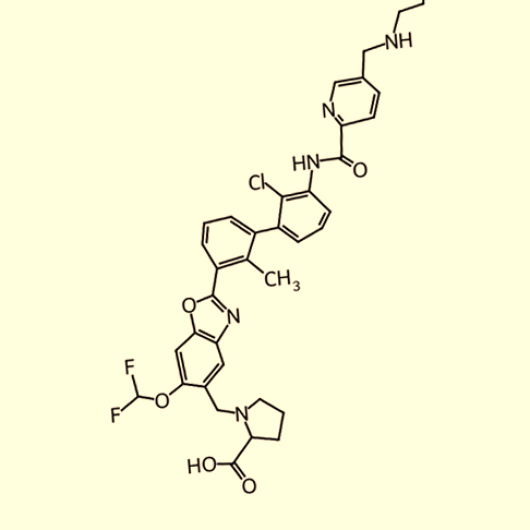 Cc1c(-c2nc3cc(CN4CCCC4C(=O)O)c(OC(F)F)cc3o2)cccc1-c1cccc(NC(=O)c2ccc(CNCCO)cn2)c1Cl